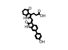 O=C(O)CCc1c(C=C2C(=O)Nc3cc(-c4ccc(O)cc4)ccc32)[nH]c2c1C(=O)CCC2